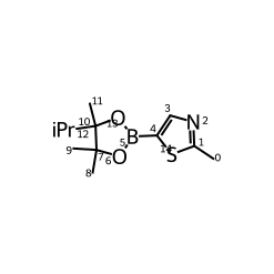 Cc1ncc(B2OC(C)(C)C(C)(C(C)C)O2)s1